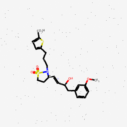 O=C(O)c1ccc(CCCN2[C@@H](/C=C/C(O)Cc3cccc(OC(F)(F)F)c3)CCS2(=O)=O)s1